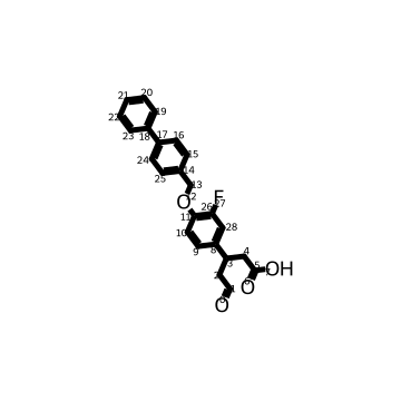 O=CCC(CC(=O)O)c1ccc(OCc2ccc(-c3ccccc3)cc2)c(F)c1